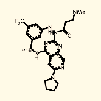 CNCCC(=O)Nc1nc(N[C@H](C)c2cc(N)cc(C(F)(F)F)c2)c2cc(N3CCCC3)ncc2n1